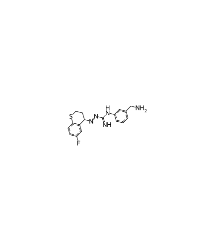 N=C(N=NC1CCSc2ccc(F)cc21)Nc1cccc(CN)c1